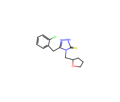 S=c1[nH]nc(Cc2ccccc2Cl)n1CC1CCCO1